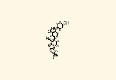 N#Cc1c(-c2ccc(NC3CCC(O)CC3)c(Cl)c2)ccn2c(CC(F)(F)F)cnc12